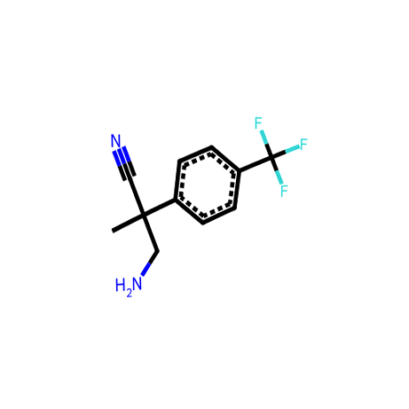 CC(C#N)(CN)c1ccc(C(F)(F)F)cc1